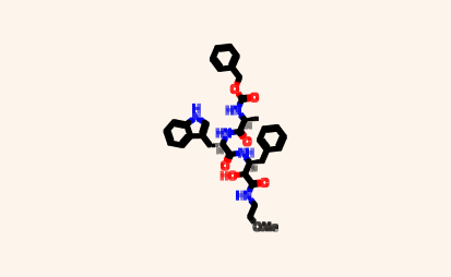 COCCNC(=O)C(O)[C@H](Cc1ccccc1)NC(=O)[C@H](Cc1c[nH]c2ccccc12)NC(=O)[C@H](C)NC(=O)OCc1ccccc1